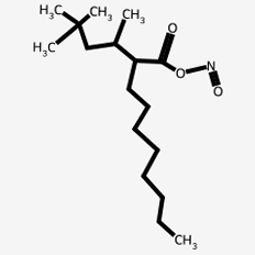 CCCCCCCCC(C(=O)ON=O)C(C)CC(C)(C)C